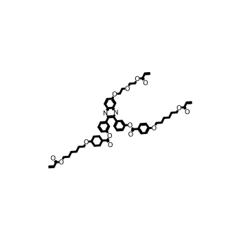 C=CC(=O)OCCCCCCOc1ccc(C(=O)Oc2cccc(-c3nc4cc(OCCOCCOC(=O)C=C)ccc4nc3-c3cccc(OC(=O)C4CCC(OCCCCCCOC(=O)C=C)CC4)c3)c2)cc1